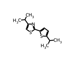 CC(C)c1csc(-c2ccc(C(C)C)s2)n1